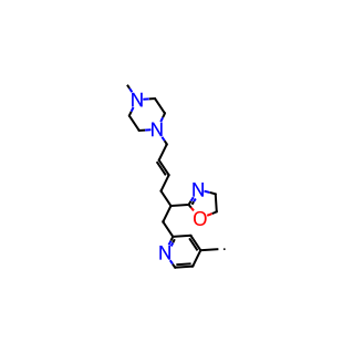 [CH2]c1ccnc(CC(CC=CCN2CCN(C)CC2)C2=NCCO2)c1